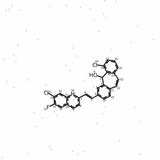 OC1c2cc(C=Cc3ccc4cc(F)c(Cl)cc4n3)ccc2C=Cc2cccc(Cl)c21